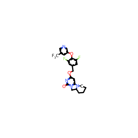 O=c1nc(OCc2cc(F)c(Oc3cncc(C(F)(F)F)c3)c(F)c2)cc2n1CC1CCCCN21